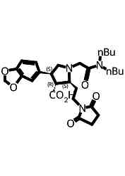 CCCCN(CCCC)C(=O)CN1C[C@H](c2ccc3c(c2)OCO3)[C@@H](C(=O)O)[C@@H]1CCN1C(=O)CCC1=O